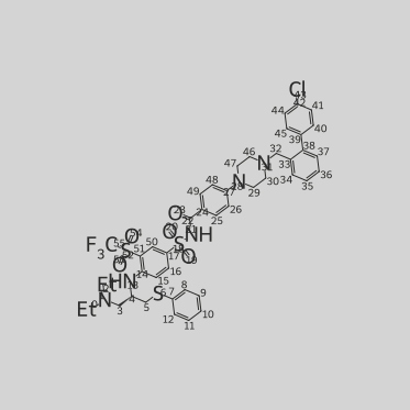 CCN(CC)C[C@H](CSc1ccccc1)Nc1ccc(S(=O)(=O)NC(=O)c2ccc(N3CCN(Cc4ccccc4-c4ccc(Cl)cc4)CC3)cc2)cc1S(=O)(=O)C(F)(F)F